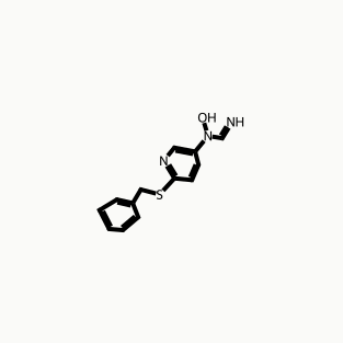 N=CN(O)c1ccc(SCc2ccccc2)nc1